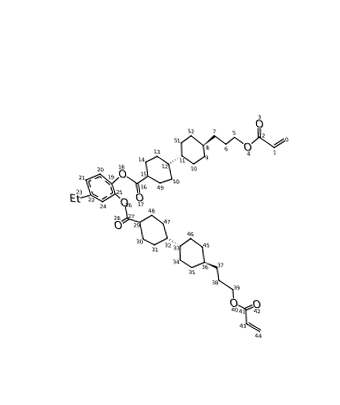 C=CC(=O)OCCC[C@H]1CC[C@H](C2CCC(C(=O)Oc3ccc(CC)cc3OC(=O)C3CCC([C@H]4CC[C@H](CCCOC(=O)C=C)CC4)CC3)CC2)CC1